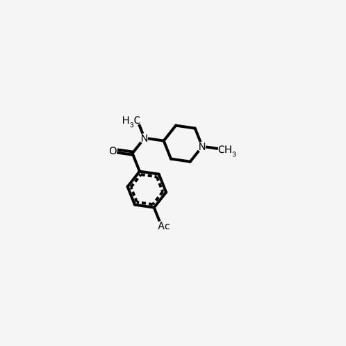 CC(=O)c1ccc(C(=O)N(C)C2CCN(C)CC2)cc1